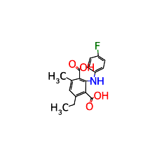 CCc1cc(C)c(C(=O)O)c(Nc2ccc(F)cc2)c1C(=O)O